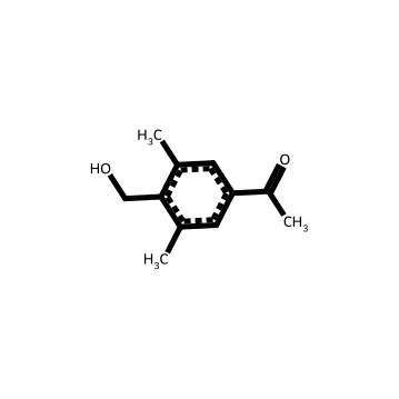 CC(=O)c1cc(C)c(CO)c(C)c1